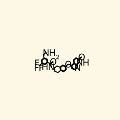 NCc1cc(C(=O)NC2CCc3ccc(Oc4ccnc5[nH]c(=O)ccc45)cc3C2)cc(C(F)(F)F)c1